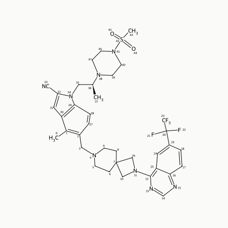 Cc1c(CN2CCC3(CC2)CN(c2ncnc4ccc(C(F)(F)C(F)(F)F)cc24)C3)ccc2c1cc(C#N)n2C[C@H](C)N1CCN(S(C)(=O)=O)CC1